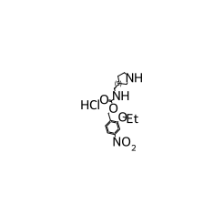 CCOc1cc([N+](=O)[O-])ccc1COC(=O)NC[C@H]1CCNC1.Cl